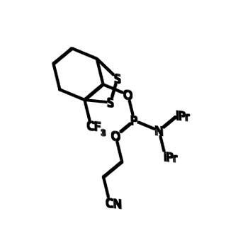 CC(C)N(C(C)C)P(OCCC#N)OC1C2CCCC1(C(F)(F)F)SS2